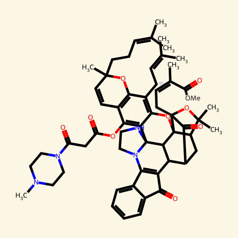 COC(=O)/C(C)=C\CC12OC(C)(C)C3CC(C1=O)C1C4=C(c5ccccc5C4=O)N4CCNC45c4c(OC(=O)CC(=O)N6CCN(C)CC6)c6c(c(CC=C(C)C)c4OC32C15)OC(C)(CCC=C(C)C)C=C6